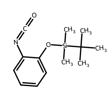 CC(C)(C)[Si](C)(C)Oc1ccccc1N=C=O